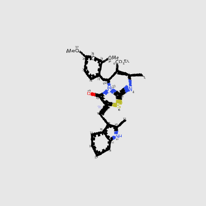 CCOC(=O)C1=C(C)N=c2s/c(=C\c3c(C)[nH]c4ccccc34)c(=O)n2C1c1ccc(OC)cc1OC